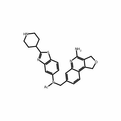 CC(=O)N(Cc1ccc2c3c(c(N)nc2c1)COC3)c1ccc2sc(C3CCNCC3)nc2c1